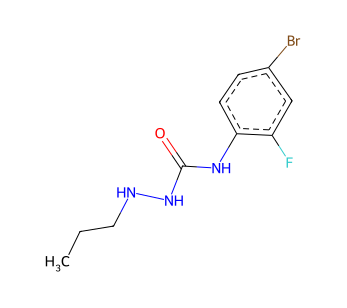 CCCNNC(=O)Nc1ccc(Br)cc1F